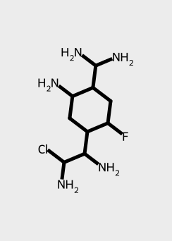 NC(N)C1CC(F)C(C(N)C(N)Cl)CC1N